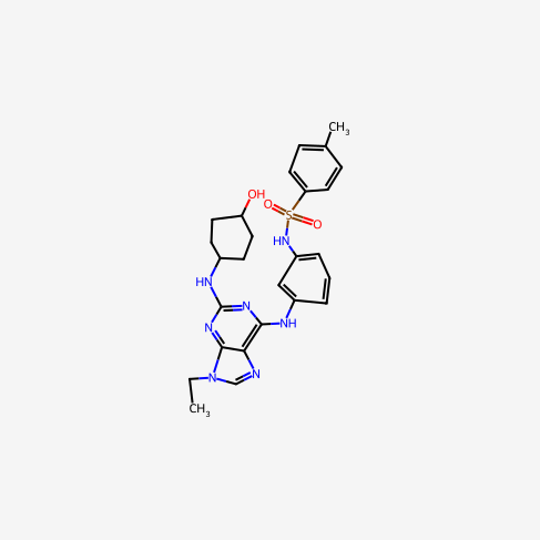 CCn1cnc2c(Nc3cccc(NS(=O)(=O)c4ccc(C)cc4)c3)nc(NC3CCC(O)CC3)nc21